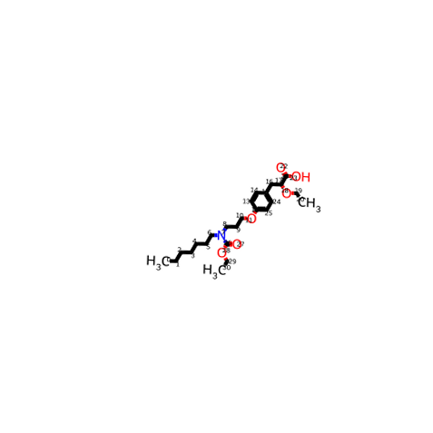 CCCCCCCN(CCCOc1ccc(CC(OCC)C(=O)O)cc1)C(=O)OCC